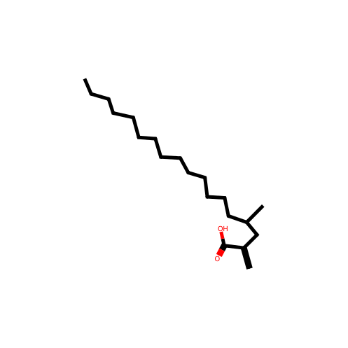 C=C(CC(C)CCCCCCCCCCCCCC)C(=O)O